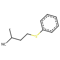 [CH2]C(C#N)CCSc1ccccc1